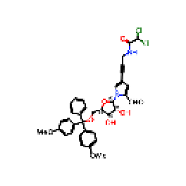 COc1ccc(C(OC[C@H]2O[C@@H](n3cc(C#CCNC(=O)C(Cl)Cl)cc3C=O)[C@H](O)[C@@H]2O)(c2ccccc2)c2ccc(OC)cc2)cc1